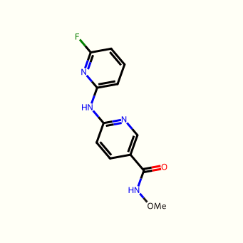 CONC(=O)c1ccc(Nc2cccc(F)n2)nc1